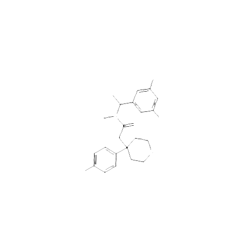 CC(c1cc(C(F)(F)F)cc(C(F)(F)F)c1)N(C)C(=O)CC1(c2ccc(F)cc2)CCNCC1